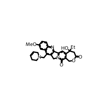 CCC1(O)CC(=O)OCc2c1cc1n(c2=O)Cc2c-1nc1ccc(OC)cc1c2CN1CC=CCC1